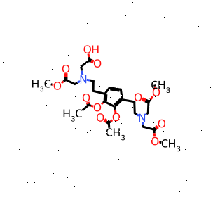 COC(=O)CN(CCc1ccc(CCN(CC(=O)OC)CC(=O)OC)c(OC(C)=O)c1OC(C)=O)CC(=O)O